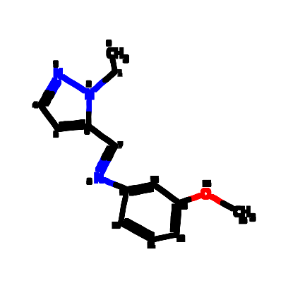 CCn1nccc1/C=N/c1cccc(OC)c1